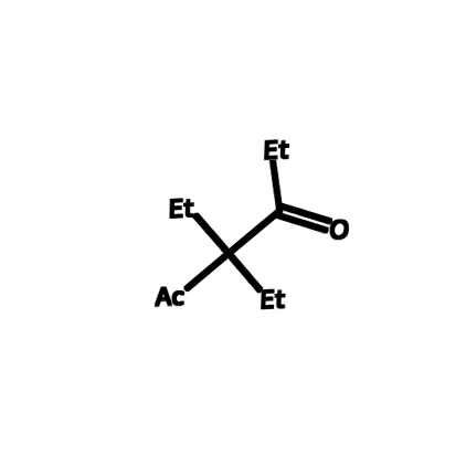 CCC(=O)C(CC)(CC)C(C)=O